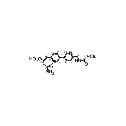 CC(C)(C)OC(=O)NCc1ccc(-c2ccc3c(c2)N=C(N)CC(C(=O)O)=C3)cn1